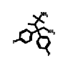 CC(C(C)(C)N)C(CN)(c1ccc(F)cc1)c1ccc(F)cc1